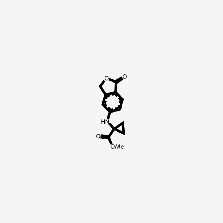 COC(=O)C1(Nc2ccc3c(c2)COC3=O)CC1